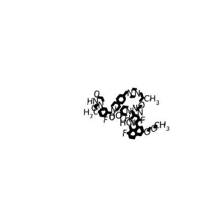 C#Cc1c(F)ccc2cc(OCOC)cc(-c3ncc4c(N5CCC[C@@](C)(O)C5)nc(OC[C@H](C)CN5CCN(CC6CCC7(CC6)CCN(C(=O)c6cc(N8CCC(=O)NC8=O)c(C)cc6F)CC7)CC5)nc4c3F)c12